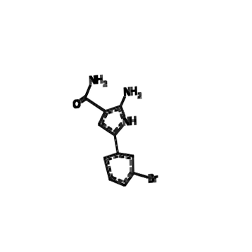 NC(=O)c1cc(-c2cccc(Br)c2)[nH]c1N